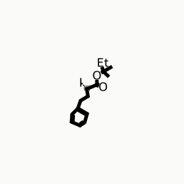 CCC(C)(C)OC(=O)[C@@H](I)CCc1ccccc1